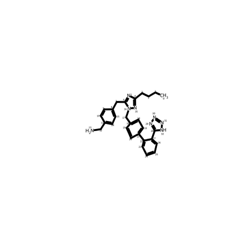 CCCCc1nc(Cc2ccc(CN)cc2)n(Cc2ccc(-c3ccccc3-c3nnn[nH]3)cc2)n1